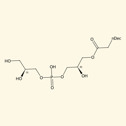 CCCCCCCCCCCC(=O)OC[C@@H](O)COP(=O)(O)OC[C@@H](O)CO